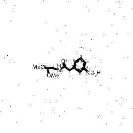 COC(CNC(=O)Cc1cccc(C(=O)O)c1)OC